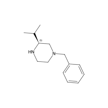 CC(C)[C@H]1CN(Cc2ccccc2)CCN1